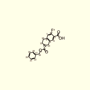 O=C(O)c1cc2c(cc1F)CCN(C(=O)OCc1ccccc1)C2